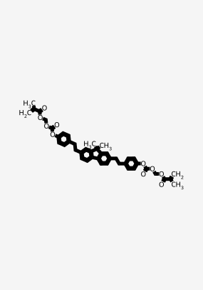 C=C(C)C(=O)OCOC(=O)Oc1ccc(CCc2ccc3c(c2)C(C)(C)c2cc(CCc4ccc(OC(=O)OCOC(=O)C(=C)C)cc4)ccc2-3)cc1